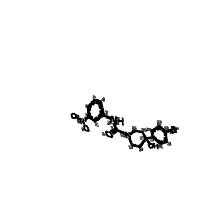 O=C(Nc1cccc([N+](=O)[O-])c1)N1CCC(O)(c2ccc(Br)cc2)CC1